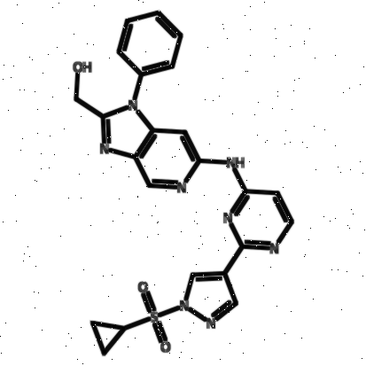 O=S(=O)(C1CC1)n1cc(-c2nccc(Nc3cc4c(cn3)nc(CO)n4-c3ccccc3)n2)cn1